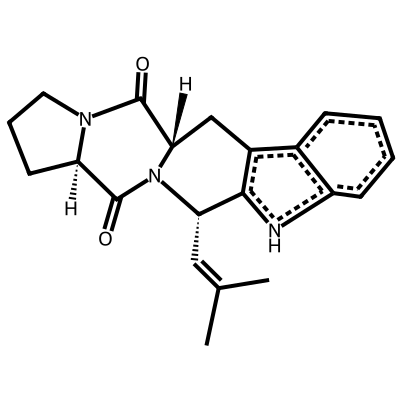 CC(C)=C[C@H]1c2[nH]c3ccccc3c2C[C@H]2C(=O)N3CCC[C@@H]3C(=O)N21